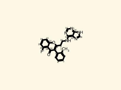 Cc1ccccc1-c1c(CCNc2ncnc3[nH]cnc23)oc2cccc(F)c2c1=O